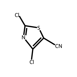 N#Cc1sc(Cl)nc1Cl